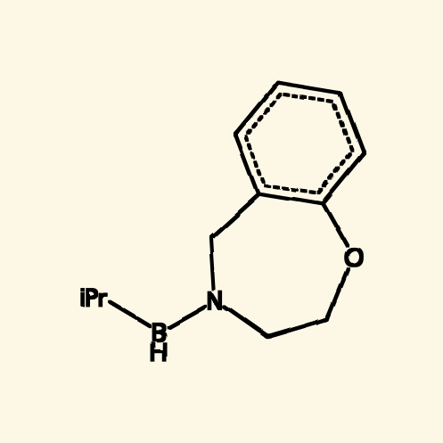 CC(C)BN1CCOc2ccccc2C1